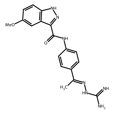 COc1ccc2[nH]nc(C(=O)Nc3ccc(/C(C)=N/NC(=N)N)cc3)c2c1